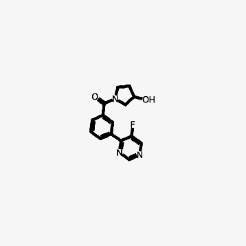 O=C(c1cccc(-c2ncncc2F)c1)N1CCC(O)C1